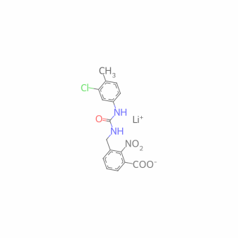 Cc1ccc(NC(=O)NCc2cccc(C(=O)[O-])c2[N+](=O)[O-])cc1Cl.[Li+]